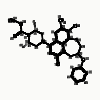 C[C@@H]1CN(c2nc(=O)n3c4c(c(Cl)c(C(F)(F)F)cc24)SC[C@@H](Oc2ccccn2)C3)C[C@H](C)N1C(=O)OC(C)(C)C